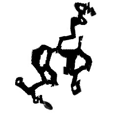 COCCCN(c1nc(Cl)ncc1F)c1cccc2c1cnn2C(C)=O